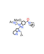 COc1cc(C(=O)N2CC3CC4CC2[C@H]43)cc2nc(-c3cc4cccnc4n3CC3CC3)n(C3CN(C(C)=O)C3)c12